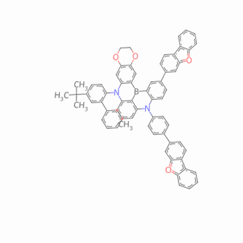 Cc1cc2c3c(c1)N(c1ccc(C(C)(C)C)cc1-c1ccccc1)c1cc4c(cc1B3c1cc(-c3ccc5c(c3)oc3ccccc35)ccc1N2c1ccc(-c2ccc3c(c2)oc2ccccc23)cc1)OCCO4